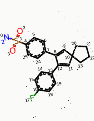 NS(=O)(=O)c1ccc(C2=CC3(C=C2c2ccc(F)cc2)CCCC3)cc1